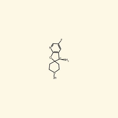 CC(C)N1CCC2(CC1)Oc1ncc(F)cc1[C@H]2N